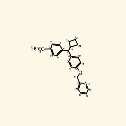 O=C(O)c1ccc(C(c2ccc(OCc3ccccn3)cc2)C2CCC2)cc1